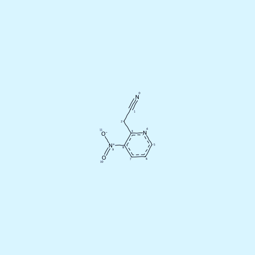 N#CCc1ncccc1[N+](=O)[O-]